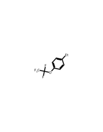 CCc1ccc(OC(F)(F)C(F)(F)F)cc1